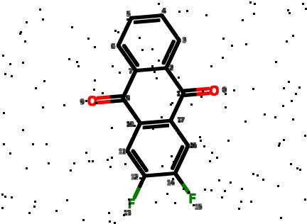 O=C1c2ccccc2C(=O)c2cc(F)c(F)cc21